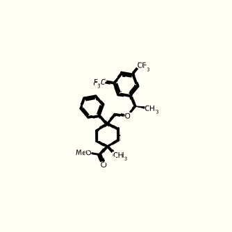 COC(=O)C1(C)CCC(CO[C@H](C)c2cc(C(F)(F)F)cc(C(F)(F)F)c2)(c2ccccc2)CC1